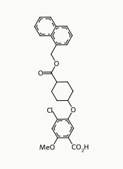 COc1cc(Cl)c(OC2CCC(C(=O)OCc3cccc4ccccc34)CC2)cc1C(=O)O